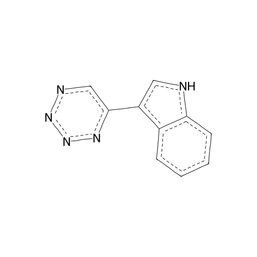 c1ccc2c(-c3cnnnn3)c[nH]c2c1